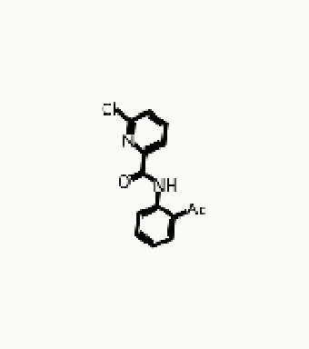 CC(=O)c1ccccc1NC(=O)c1cccc(Cl)n1